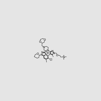 CCC1(C)CN(CC2COCCO2)CCN1c1nn(COCC[Si](C)(C)C)c(C)c1-c1c(Cl)c(C)cc2c1cnn2C1CCCCO1